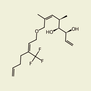 C=CCC/C(=C/COC/C(C)=C\[C@@H](C)[C@H](O)[C@@H](O)C=C)C(F)(F)F